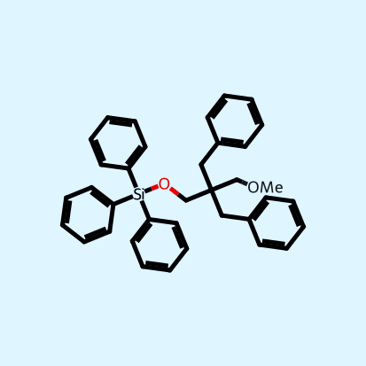 COCC(CO[Si](c1ccccc1)(c1ccccc1)c1ccccc1)(Cc1ccccc1)Cc1ccccc1